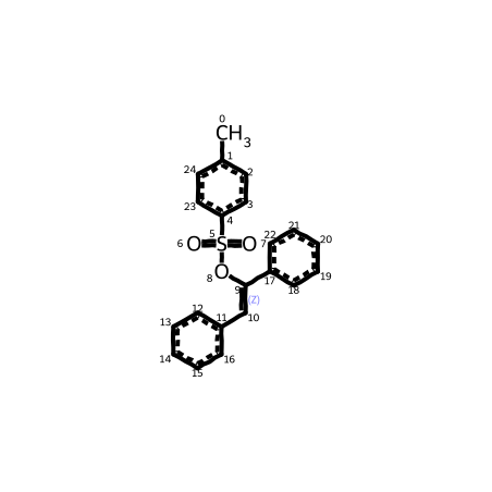 Cc1ccc(S(=O)(=O)O/C(=C\c2ccccc2)c2ccccc2)cc1